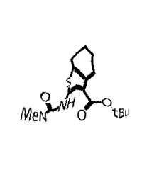 CNC(=O)Nc1sc2c(c1C(=O)OC(C)(C)C)CCCC2